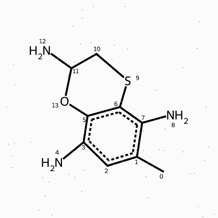 Cc1cc(N)c2c(c1N)SCC(N)O2